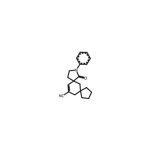 N#CC1=CC2(CCN(c3ccccc3)C2=O)CC2(CCCC2)C1